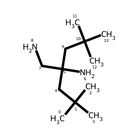 CC(C)(C)CC(N)(CN)CC(C)(C)C